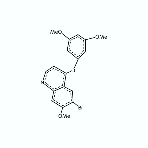 COc1cc(OC)cc(Oc2ccnc3cc(OC)c(Br)cc23)c1